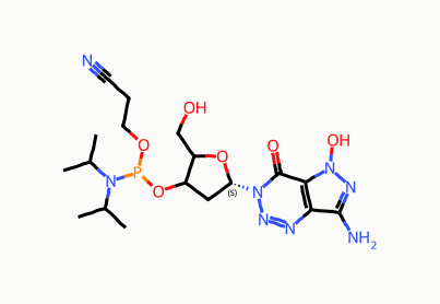 CC(C)N(C(C)C)P(OCCC#N)OC1C[C@@H](n2nnc3c(N)nn(O)c3c2=O)OC1CO